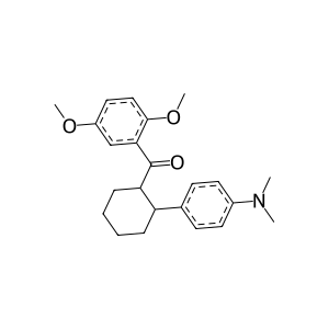 COc1ccc(OC)c(C(=O)C2CCCCC2c2ccc(N(C)C)cc2)c1